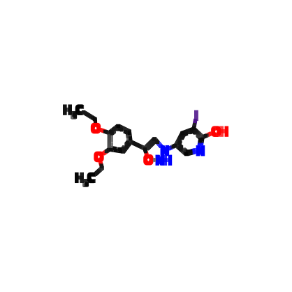 CCOc1ccc(C2=CN(c3cnc(O)c(I)c3)NO2)cc1OCC